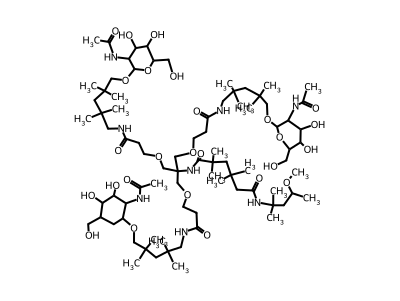 COC(C)CC(C)(C)NC(=O)CC(C)(C)CC(C)(C)C(=O)NC(COCCC(=O)NCC(C)(C)CC(C)(C)COC1CC(CO)C(O)C(O)C1NC(C)=O)(COCCC(=O)NCC(C)(C)CC(C)(C)COC1OC(CO)C(O)C(O)C1NC(C)=O)COCCC(=O)NCC(C)(C)CC(C)(C)COC1OC(CO)C(O)C(O)C1NC(C)=O